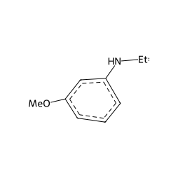 C[C]Nc1cccc(OC)c1